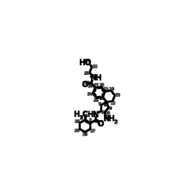 CC1=C(C(=O)NCCC2(CCN)CCCc3cc(C(=O)NCCO)ccc32)CCCC1